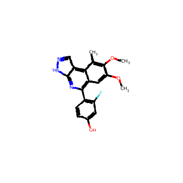 COc1cc2c(-c3ccc(O)cc3F)nc3[nH]ncc3c2c(C)c1OC